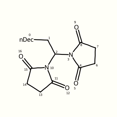 CCCCCCCCCCCC(N1C(=O)CCC1=O)N1C(=O)CCC1=O